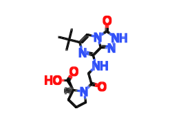 CC(C)(C)c1cn2c(=O)[nH]nc2c(NCC(=O)N2CCC[C@H]2C(=O)O)n1